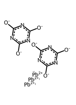 [O-]c1nc([O-])nc([O-])n1.[O-]c1nc([O-])nc([O-])n1.[Pb+2].[Pb+2].[Pb+2]